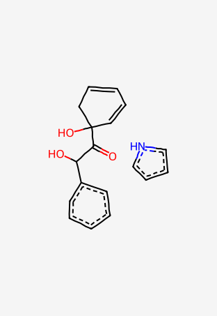 O=C(C(O)c1ccccc1)C1(O)C=CC=CC1.c1cc[nH]c1